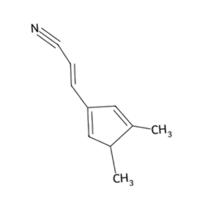 CC1=CC(/C=C/C#N)=CC1C